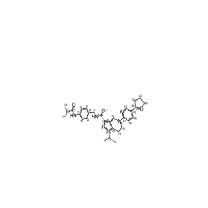 CC(C)n1nc(C(=O)NCc2ccc(NC(=O)N(C)C)cc2)c2c1CCN(c1ccc([C@H]3CCCO3)cn1)C2